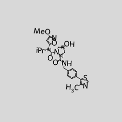 COc1cc([C@@H](C(=O)N2C[C@H](O)C[C@H]2C(=O)NCc2ccc(-c3scnc3C)cc2)C(C)C)on1